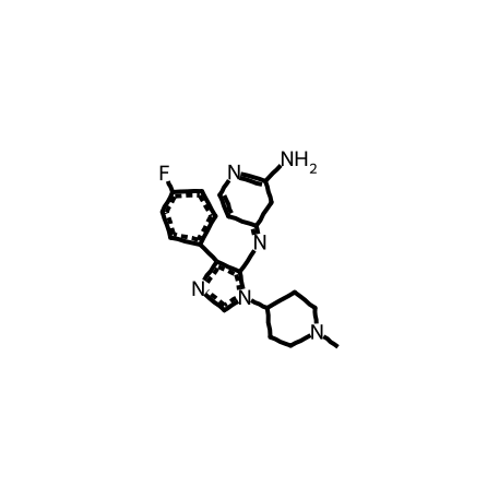 CN1CCC(n2cnc(-c3ccc(F)cc3)c2N=C2C=CN=C(N)C2)CC1